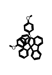 COc1ccc(N(c2ccc(OC)cc2)c2cccc3c2C2(c4ccccc4-c4ccccc42)c2ccccc2-3)cc1